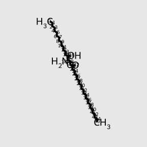 CCCCCCCCCCCCC/C=C/C(O)C(N)COC(=O)CCCCCCCCCCCCCCCCCCCCCCC